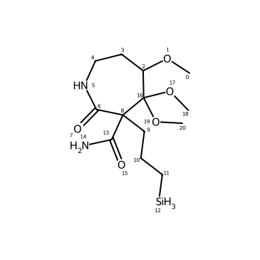 COC1CCNC(=O)C(CCC[SiH3])(C(N)=O)C1(OC)OC